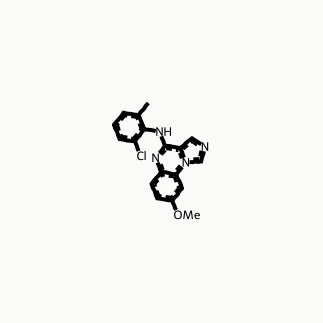 COc1ccc2nc(Nc3c(C)cccc3Cl)c3cncn3c2c1